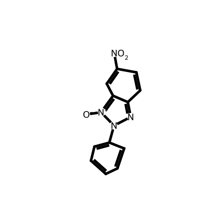 O=[N+]([O-])c1ccc2nn(-c3ccccc3)[n+]([O-])c2c1